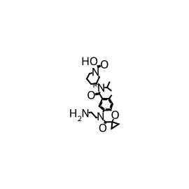 Cc1cc2c(cc1C(=O)N(C(C)C)[C@@H]1CCCN(C(=O)O)C1)N(CCN)C(=O)C1(CC1)O2